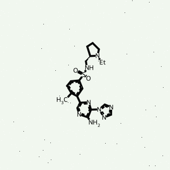 CCN1CCC[C@@H]1CNS(=O)(=O)c1ccc(C)c(-c2cnc(N)c(-n3cncn3)n2)c1